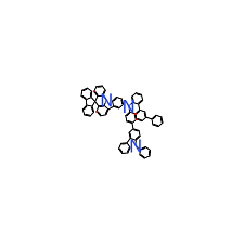 c1ccc(-c2cccc(-c3ccccc3N(c3ccc(-c4ccc5c(c4)c4ccccc4n5-c4ccccc4)cc3)c3ccc4c(c3)c3cccc5c3n4-c3ccccc3C53c4ccccc4-c4ccccc43)c2)cc1